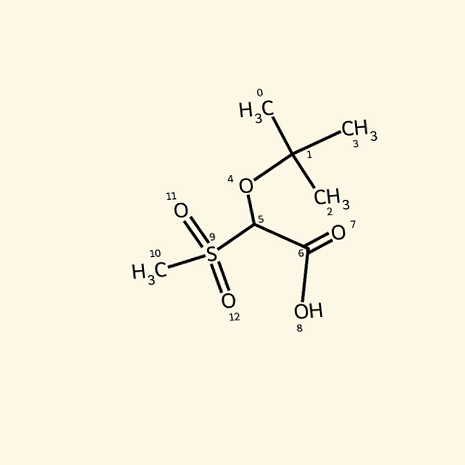 CC(C)(C)OC(C(=O)O)S(C)(=O)=O